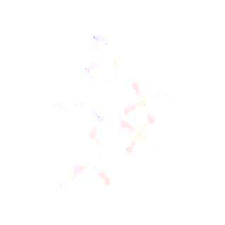 CC(C)(C)OC(=O)CON=C(C(=O)O)c1csc(N)n1.CS(=O)(=O)OS(C)(=O)=O